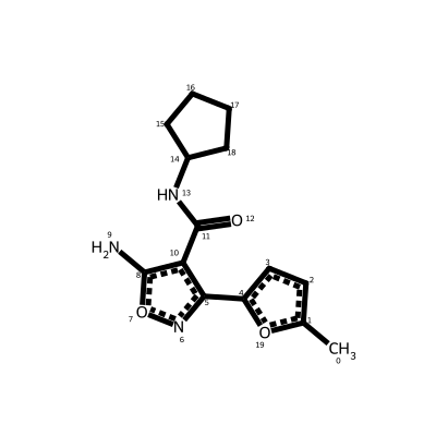 Cc1ccc(-c2noc(N)c2C(=O)NC2CCCC2)o1